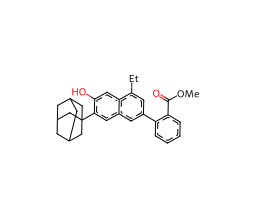 CCc1cc(-c2ccccc2C(=O)OC)cc2cc(C34CC5CC(CC(C5)C3)C4)c(O)cc12